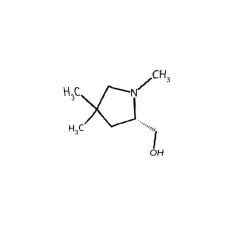 CN1CC(C)(C)C[C@H]1CO